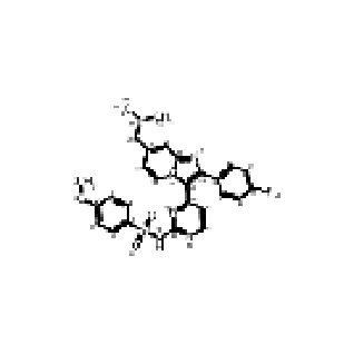 COc1ccc(S(=O)(=O)Nc2nccc(-c3c(-c4ccc(F)cc4)nc4cc(CN(C)C)ccn34)n2)cc1